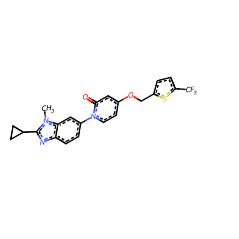 Cn1c(C2CC2)nc2ccc(-n3ccc(OCc4ccc(C(F)(F)F)s4)cc3=O)cc21